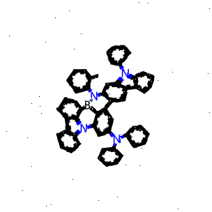 Cc1ccccc1N1B2c3c(cc(N(c4ccccc4)c4ccccc4)cc3-n3c4ccccc4c4cccc2c43)-c2cc3c4ccccc4n(-c4ccccc4)c3cc21